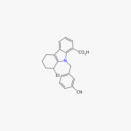 CCC1CCCc2c1n(Cc1cccc(C#N)c1)c1c(C(=O)O)cccc21